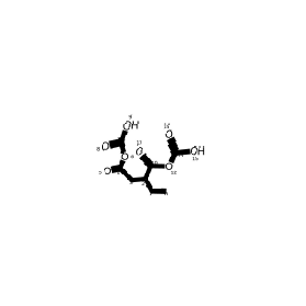 CCC(CC(=O)OC(=O)O)C(=O)OC(=O)O